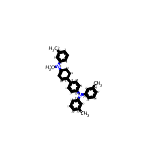 Cc1cccc(N(C)C2=CC=C(c3ccc(N(c4cccc(C)c4)c4cccc(C)c4)cc3)CC2)c1